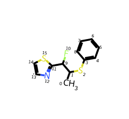 CC(Sc1ccccc1)C(F)c1n[c]cs1